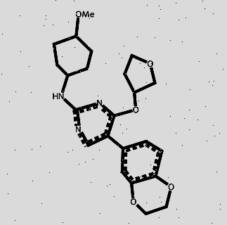 COC1CCC(Nc2ncc(-c3ccc4c(c3)OCCO4)c(OC3CCOC3)n2)CC1